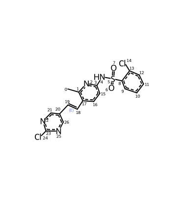 Cc1nc(NS(=O)(=O)c2ccccc2Cl)ccc1/C=C/c1cnc(Cl)nc1